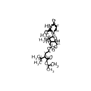 CC(C)OC(=O)C(CCOP1(=O)C[C@@H]2[C@@H](CO1)O[C@@H](n1ccc(=O)[nH]c1=O)[C@]2(C)N)C(C)C